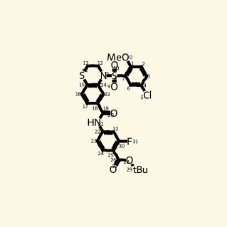 COc1ccc(Cl)cc1S(=O)(=O)N1CCSc2ccc(C(=O)Nc3ccc(C(=O)OC(C)(C)C)c(F)c3)cc21